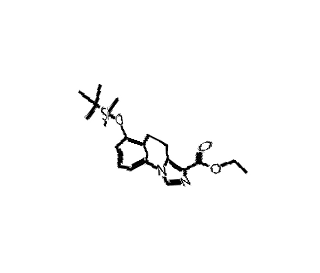 CCOC(=O)c1ncn2c1CCc1c(O[Si](C)(C)C(C)(C)C)cccc1-2